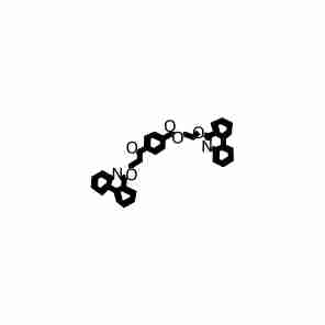 O=C(CCOc1nc2ccccc2c2ccccc12)c1ccc(C(=O)OCCOc2nc3ccccc3c3ccccc23)cc1